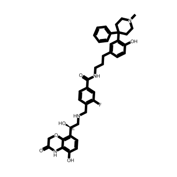 CN1CCC(c2ccccc2)(c2cc(CCCNC(=O)c3ccc(CNC[C@H](O)c4ccc(O)c5c4OCC(=O)N5)c(F)c3)ccc2O)CC1